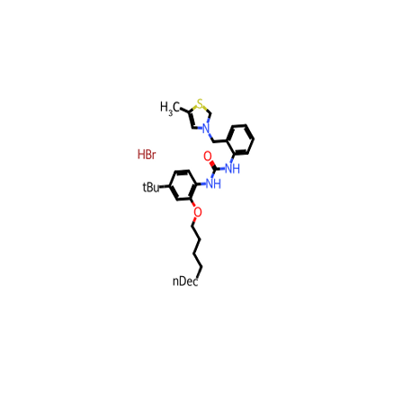 Br.CCCCCCCCCCCCCCOc1cc(C(C)(C)C)ccc1NC(=O)Nc1ccccc1CN1C=C(C)SC1